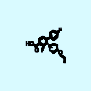 CCCO[C@H]1CC[C@H](c2c(-c3ccc(F)cc3)ccc(C(=O)O)c2F)CC1